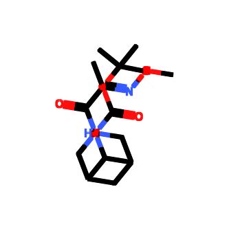 CON=C(C)C(=O)N1CC2CC(C1)C2NC(=O)OC(C)(C)C